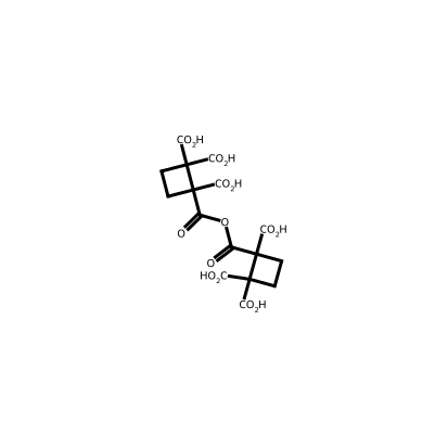 O=C(O)C1(C(=O)O)CCC1(C(=O)O)C(=O)OC(=O)C1(C(=O)O)CCC1(C(=O)O)C(=O)O